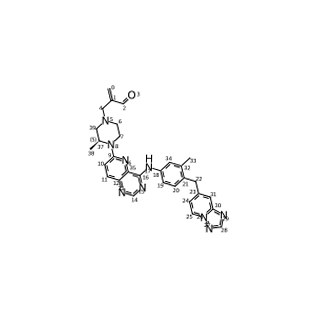 C=C(C=O)CN1CCN(c2ccc3ncnc(Nc4ccc(Cc5ccn6ncnc6c5)c(C)c4)c3n2)[C@@H](C)C1